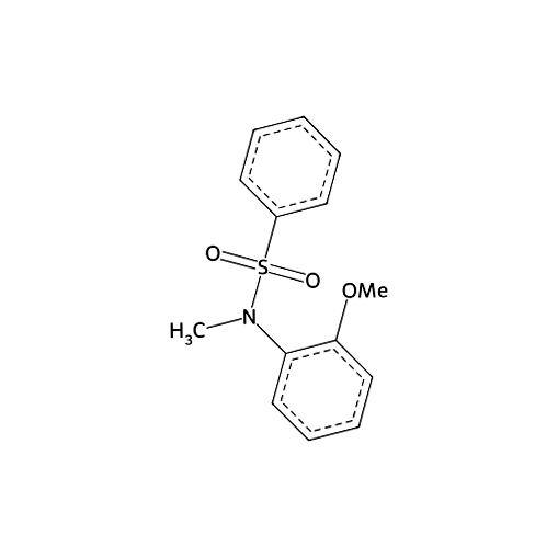 COc1ccccc1N(C)S(=O)(=O)c1ccccc1